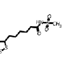 CS(=O)(=O)NC(=O)CCCCCC1CCSS1